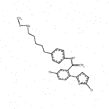 C=C(Nc1ccc(CCCCCNSC)cc1)c1cc(Cl)ccc1-c1ccc(Cl)s1